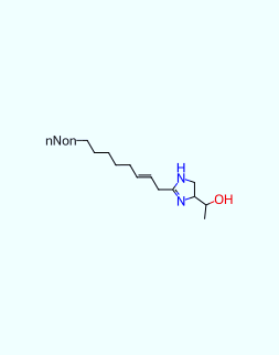 CCCCCCCCCCCCCCC=CCC1=NC(C(C)O)CN1